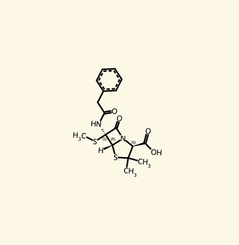 CS[C@@]1(NC(=O)Cc2ccccc2)C(=O)N2[C@@H](C(=O)O)C(C)(C)S[C@@H]21